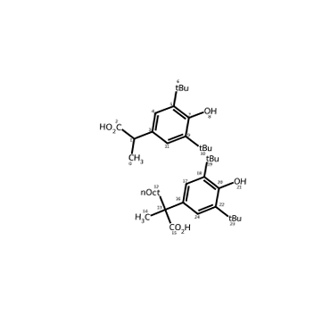 CC(C(=O)O)c1cc(C(C)(C)C)c(O)c(C(C)(C)C)c1.CCCCCCCCC(C)(C(=O)O)c1cc(C(C)(C)C)c(O)c(C(C)(C)C)c1